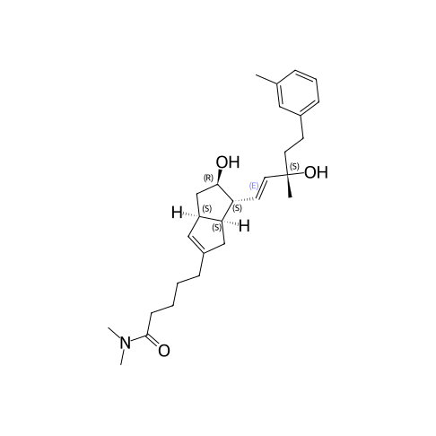 Cc1cccc(CC[C@](C)(O)/C=C/[C@@H]2[C@H]3CC(CCCCC(=O)N(C)C)=C[C@H]3C[C@H]2O)c1